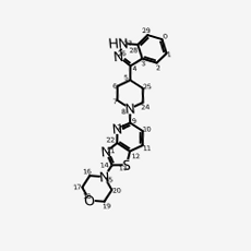 c1ccc2c(C3CCN(c4ccc5sc(N6CCOCC6)nc5n4)CC3)n[nH]c2c1